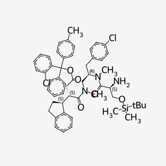 Cc1ccc(C(OC(=O)C[C@H](C(=O)N(C)C[C@@H](Cc2ccc(Cl)cc2)N(C)C(=O)[C@@H](N)CO[Si](C)(C)C(C)(C)C)[C@@H]2CCc3ccccc32)(c2ccccc2)c2ccccc2Cl)cc1